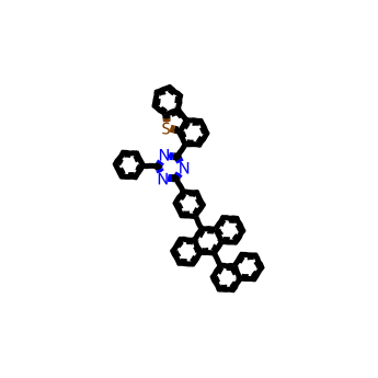 c1ccc(-c2nc(-c3ccc(-c4c5ccccc5c(-c5cccc6ccccc56)c5ccccc45)cc3)nc(-c3cccc4c3sc3ccccc34)n2)cc1